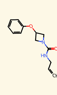 C=CCNC(=O)N1CC(Oc2ccccc2)C1